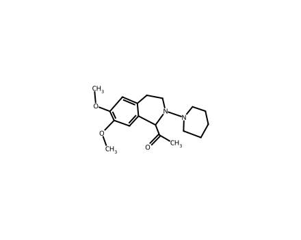 COc1cc2c(cc1OC)C(C(C)=O)N(N1CCCCC1)CC2